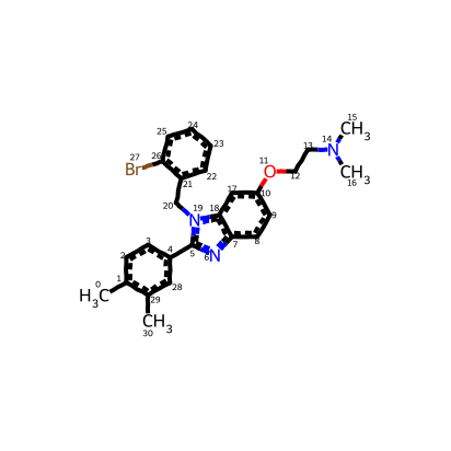 Cc1ccc(-c2nc3ccc(OCCN(C)C)cc3n2Cc2ccccc2Br)cc1C